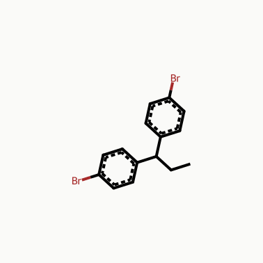 CCC(c1ccc(Br)cc1)c1ccc(Br)cc1